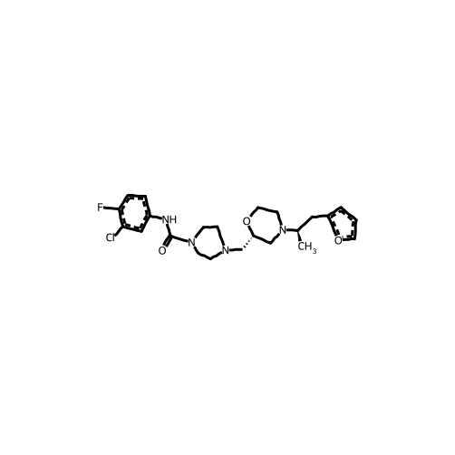 C[C@H](Cc1ccco1)N1CCO[C@@H](CN2CCN(C(=O)Nc3ccc(F)c(Cl)c3)CC2)C1